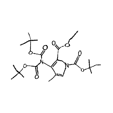 CCOC(=O)c1c(N(C(=O)OC(C)(C)C)C(=O)OC(C)(C)C)c(C)cn1C(=O)OC(C)(C)C